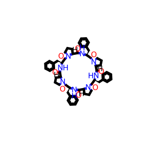 O=C1N[C@@H](Cc2ccccc2)C(=O)N2CCC[C@H]2C(=O)N[C@@H](Cc2ccccc2)C(=O)N2CCC[C@H]2C(=O)N[C@@H](Cc2ccccc2)C(=O)N2CCC[C@H]2C(=O)N[C@@H](Cc2ccccc2)C(=O)N2CCC[C@@H]12